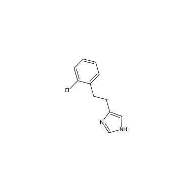 Clc1ccccc1C[CH]c1c[nH]cn1